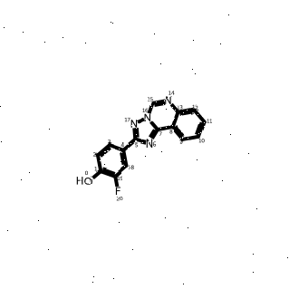 Oc1ccc(-c2nc3c4ccccc4ncn3n2)cc1F